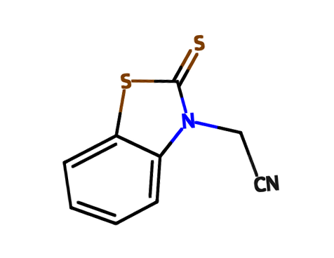 N#CCn1c(=S)sc2ccccc21